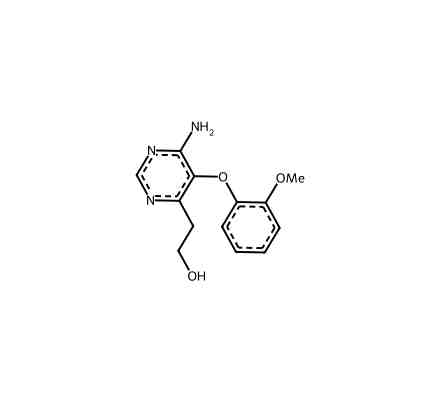 COc1ccccc1Oc1c(N)ncnc1CCO